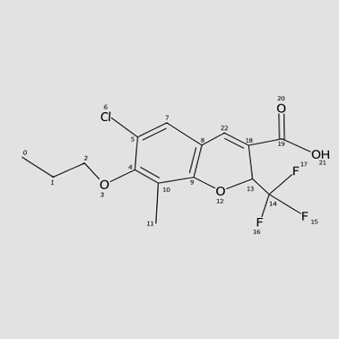 CCCOc1c(Cl)cc2c(c1C)OC(C(F)(F)F)C(C(=O)O)=C2